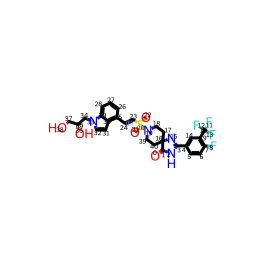 O=C1NC(c2ccc(F)c(C(F)(F)F)c2)=NC12CCN(S(=O)(=O)/C=C/c1cccc3c1ccn3C[C@H](O)CO)CC2